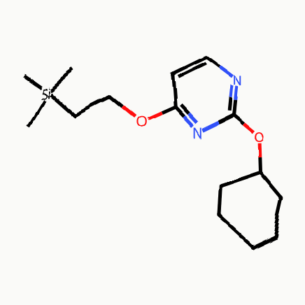 C[Si](C)(C)CCOc1ccnc(OC2CCCCC2)n1